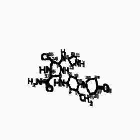 CC1CC(NC2NC(N[C@@H]3CCNC3)C(Cl)NC2C(N)=O)CCC1N1CCC(=O)CC1